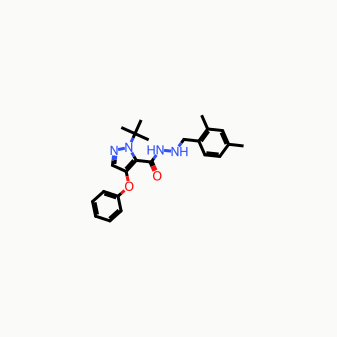 Cc1ccc(CNNC(=O)c2c(Oc3ccccc3)cnn2C(C)(C)C)c(C)c1